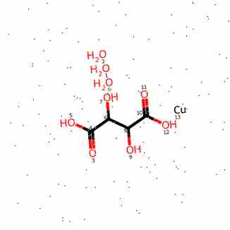 O.O.O.O=C(O)C(O)C(O)C(=O)O.[Cu]